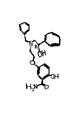 NC(=O)c1cc(OCCN(Cc2ccccc2)C[C@H](O)c2ccccc2)ccc1O